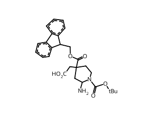 CC(C)(C)OC(=O)N1CCC(CC(=O)O)(C(=O)OCC2c3ccccc3-c3ccccc32)CC1N